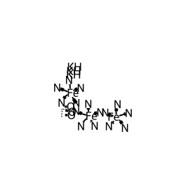 N#[C][Fe]([C]#N)([C]#N)([C]#N)[C]#N.N#[C][Fe]([C]#N)([C]#N)([C]#N)[C]#N.N#[C][Fe]([C]#N)([C]#N)([C]#N)[C]#N.[C]=O.[C]=O.[C]=O.[KH].[KH].[KH]